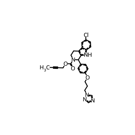 CC#CCOC(=O)N1CCc2c([nH]c3ccc(Cl)cc23)C1c1ccc(OCCCn2cncn2)cc1